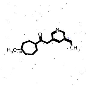 C/C=C1\C=C(CC(=O)C2CCC[C@@H](C)CC2)C=NC1